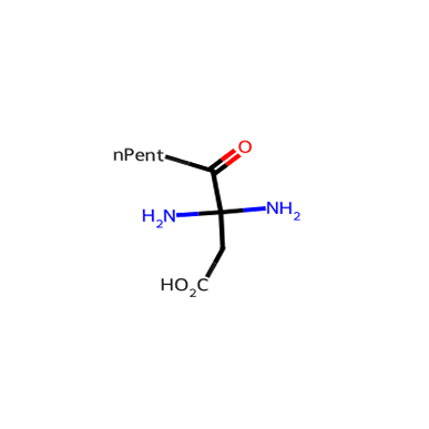 CCCCCC(=O)C(N)(N)CC(=O)O